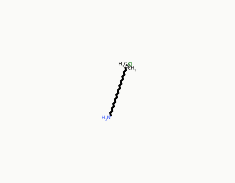 C[Si](C)(Cl)CCCCCCCCCCCCCCCCCCCCCCN